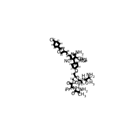 CC(C)C(NC(=O)[C@H](C)N)C(=O)O[C@H](COC(=O)[C@@H](NC(=O)[C@H](C)N)C(C)C)COc1ccc(-c2c(C#N)c(N)nc(SCc3coc(-c4ccc(Cl)cc4)n3)c2C#N)cc1.Cl.Cl